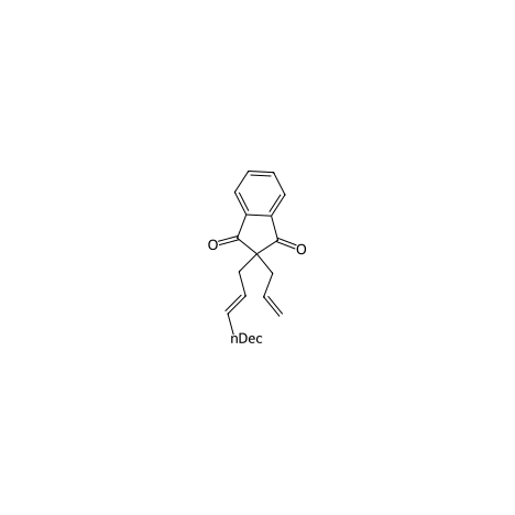 C=CCC1(CC=CCCCCCCCCCC)C(=O)c2ccccc2C1=O